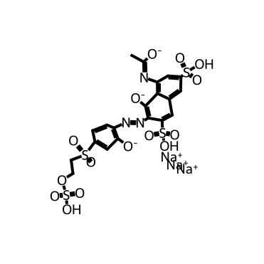 CC([O-])=Nc1cc(S(=O)(=O)O)cc2cc(S(=O)(=O)O)c(N=Nc3ccc(S(=O)(=O)CCOS(=O)(=O)O)cc3[O-])c([O-])c12.[Na+].[Na+].[Na+]